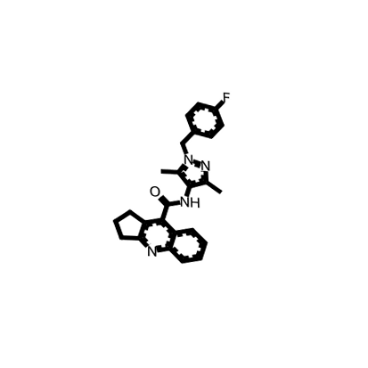 Cc1nn(Cc2ccc(F)cc2)c(C)c1NC(=O)c1c2c(nc3ccccc13)CCC2